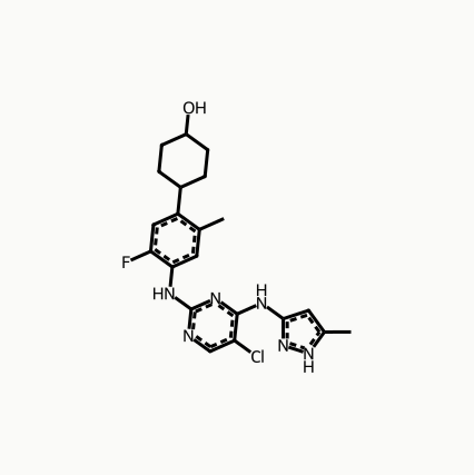 Cc1cc(Nc2nc(Nc3cc(C)c(C4CCC(O)CC4)cc3F)ncc2Cl)n[nH]1